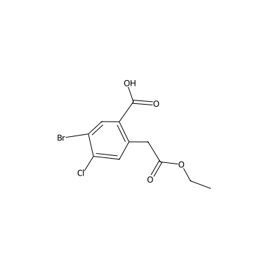 CCOC(=O)Cc1cc(Cl)c(Br)cc1C(=O)O